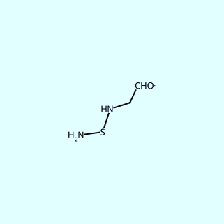 NSNC[C]=O